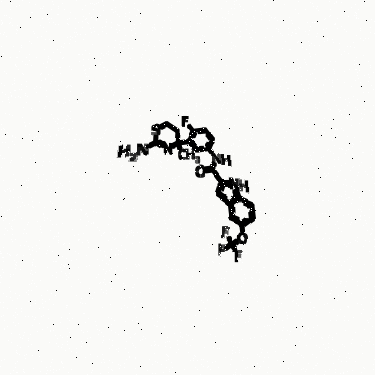 CC1(c2cc(NC(=O)c3cc4cc(OC(F)(F)F)ccc4[nH]3)ccc2F)CCSC(N)=N1